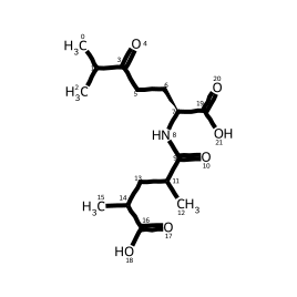 CC(C)C(=O)CC[C@H](NC(=O)C(C)CC(C)C(=O)O)C(=O)O